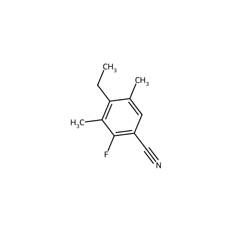 CCc1c(C)cc(C#N)c(F)c1C